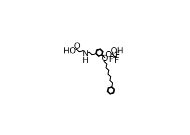 O=C(O)C(F)(F)F.O=C(O)CCNCCc1cccc(OCCCCCCCCc2ccccc2)c1